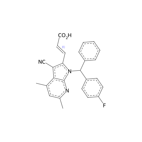 Cc1cc(C)c2c(C#N)c(/C=C/C(=O)O)n(C(c3ccccc3)c3ccc(F)cc3)c2n1